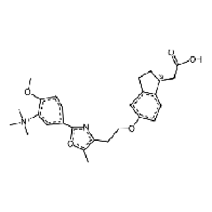 COc1ccc(-c2nc(CCOc3ccc4c(c3)CC[C@H]4CC(=O)O)c(C)o2)cc1[N+](C)(C)C